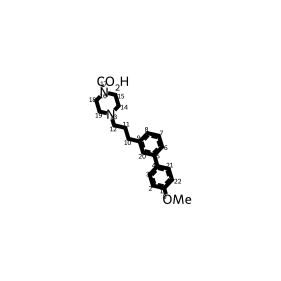 COc1ccc(-c2cccc(CCCN3CCN(C(=O)O)CC3)c2)cc1